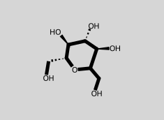 OCC1O[C@H](CO)[C@@H](O)[C@H](O)[C@H]1O